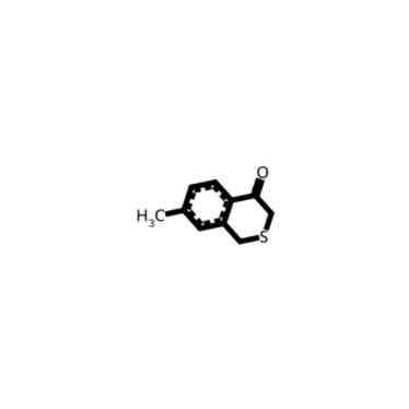 Cc1ccc2c(c1)CSCC2=O